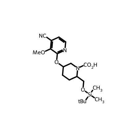 COc1c(C#N)ccnc1OC1CCC(CO[Si](C)(C)C(C)(C)C)N(C(=O)O)C1